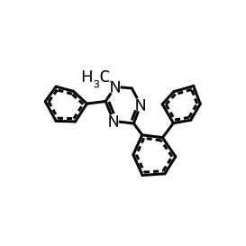 CN1CN=C(c2ccccc2-c2ccccc2)N=C1c1ccccc1